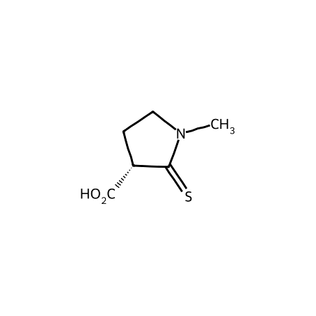 CN1CC[C@@H](C(=O)O)C1=S